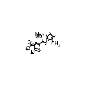 CC1CCCN1CCCCC(C(=O)[O-])C(=O)[O-].[Na+].[Na+]